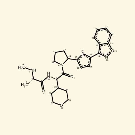 CN[C@@H](C)C(=O)N[C@H](C(=O)N1CCCC1c1nc(-c2noc3ccccc23)cs1)C1CCOCC1